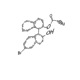 CC(C)(C)C(=O)Oc1ccc2ccccc2c1-c1c(O)ccc2cc(Br)ccc12